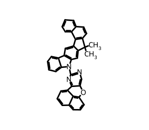 CC1(C)c2cc3c(cc2-c2c1ccc1ccccc21)c1ccccc1n3-c1ncc2c(n1)-c1cccc3cccc(c13)O2